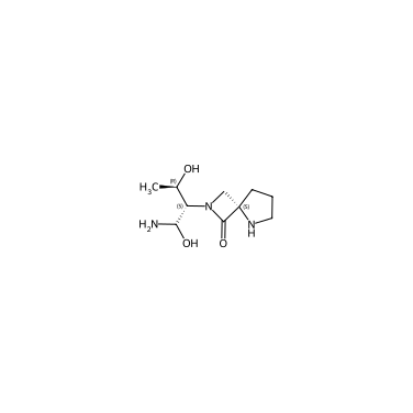 C[C@@H](O)[C@@H](C(N)O)N1C[C@@]2(CCCN2)C1=O